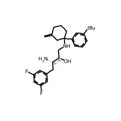 C=C1CCCC(NC[C@@H](O)[C@@H](N)Cc2cc(F)cc(F)c2)(c2cccc(C(C)(C)C)c2)C1